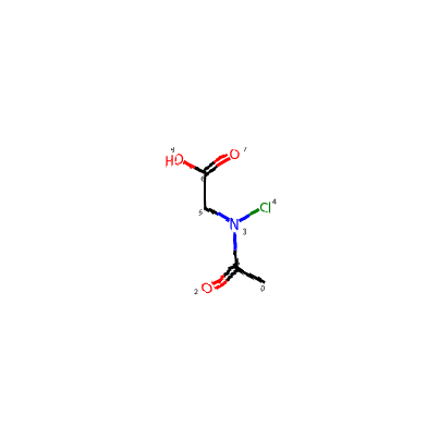 CC(=O)N(Cl)CC(=O)O